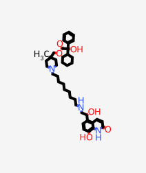 CC1(COC(=O)C(O)(c2ccccc2)C2CCCCC2)CCN(CCCCCCCCCNCC(O)c2ccc(O)c3[nH]c(=O)ccc23)CC1